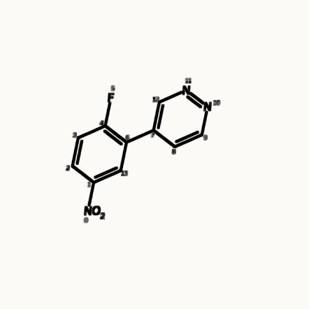 O=[N+]([O-])c1ccc(F)c(-c2ccnnc2)c1